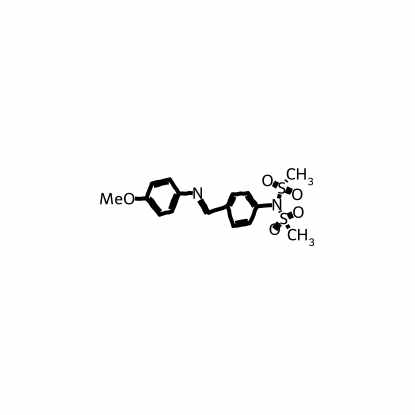 COc1ccc(N=Cc2ccc(N(S(C)(=O)=O)S(C)(=O)=O)cc2)cc1